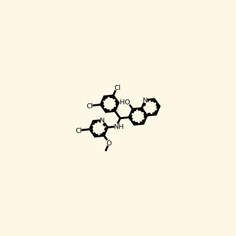 COc1cc(Cl)cnc1NC(c1cc(Cl)cc(Cl)c1)c1ccc2cccnc2c1O